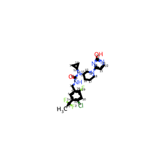 CC(F)(F)c1cc(CNC(=O)N(C2CC2)[C@@H]2CCCN(c3ccnc(O)n3)C2)c(F)cc1Cl